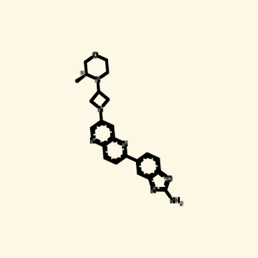 C[C@H]1COCCN1C1CN(c2cnc3ccc(-c4ccc5oc(N)nc5c4)nc3c2)C1